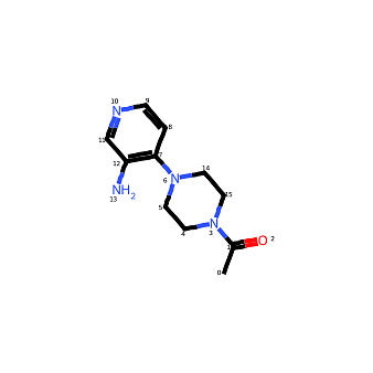 CC(=O)N1CCN(c2ccncc2N)CC1